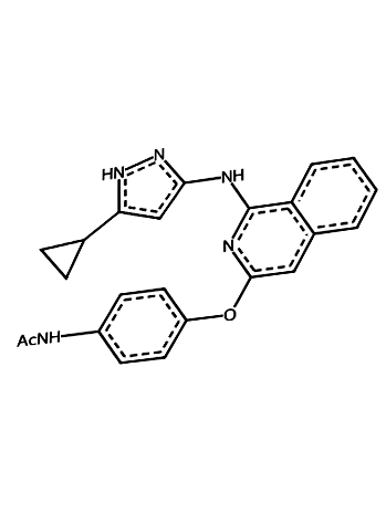 CC(=O)Nc1ccc(Oc2cc3ccccc3c(Nc3cc(C4CC4)[nH]n3)n2)cc1